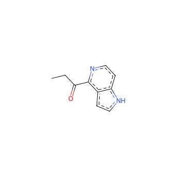 CCC(=O)c1nccc2[nH]ccc12